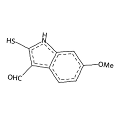 COc1ccc2c(C=O)c(S)[nH]c2c1